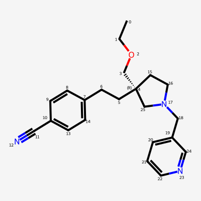 CCOC[C@]1(CCc2ccc(C#N)cc2)CCN(Cc2cccnc2)C1